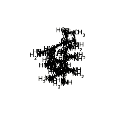 CCN1CCN(CC(=O)O)CCN(CC(=O)NCCCCCC(=O)N[C@@H](CCCNC(=N)N)C(=O)N[C@@H](CCCNC(=N)N)C(=O)NCCCCC(NC(=O)C(CCCNC(=N)N)NC(=O)C(CCCNC(=N)N)NC(C)=O)C(=O)N[C@@H](CCCNC(=N)N)C(=O)N[C@@H](CCCNC(=N)N)C(=O)N[C@@H](CCCNC(=N)N)C(=O)N[C@@H](CCCNC(=N)N)C(N)=O)CCN(CC(=O)O)CC1